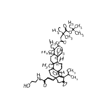 CC(C)C1=C2[C@H]3CC[C@@H]4[C@@]5(C)CC[C@H](OC(=O)CC(C)(C)C(=O)OC(C)(C)C)C(C)(C)[C@@H]5CC[C@@]4(C)[C@]3(C)CC[C@@]2(C=CC(=O)NCCO)CC1=O